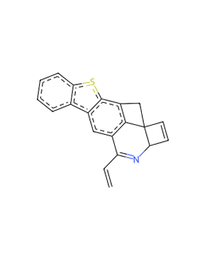 C=CC1=NC2C=CC23Cc2c3c1cc1c2sc2ccccc21